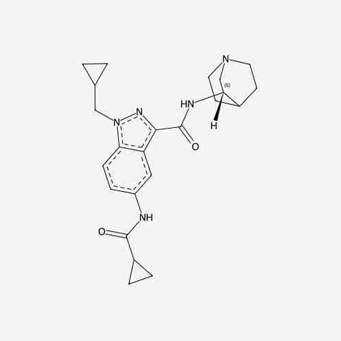 O=C(N[C@@H]1CN2CCC1CC2)c1nn(CC2CC2)c2ccc(NC(=O)C3CC3)cc12